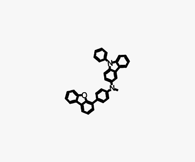 CN(c1ccc(-c2cccc3c2oc2ccccc23)cc1)c1ccc2c(c1)c1ccccc1n2-c1ccccc1